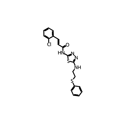 O=C(/C=C/c1ccccc1Cl)Nc1nnc(NCCSc2ccccc2)s1